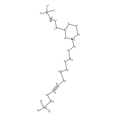 CC(C)(C)NCSC1CCCN(CCOCCOCC#CCOC(C)(C)C)C1